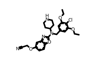 CCOc1cc(CN(c2nc3cc(OCC#N)ccc3o2)C2CCNCC2)cc(OCC)c1Cl